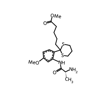 COC(=O)CCCCC1(c2ccc(OC)cc2NC(=O)[C@@H](C)N)SCCCS1